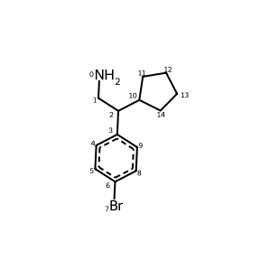 NCC(c1ccc(Br)cc1)C1CCCC1